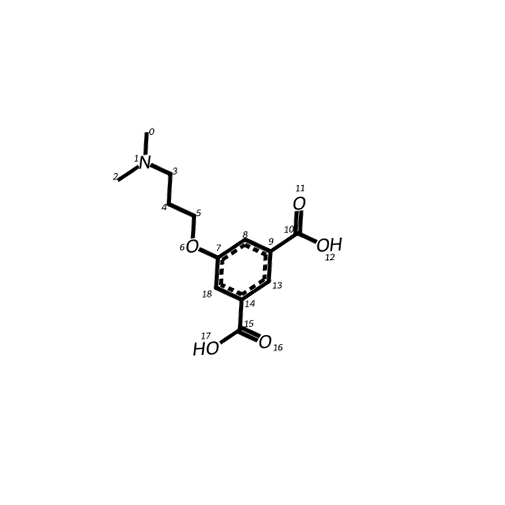 CN(C)CCCOc1cc(C(=O)O)cc(C(=O)O)c1